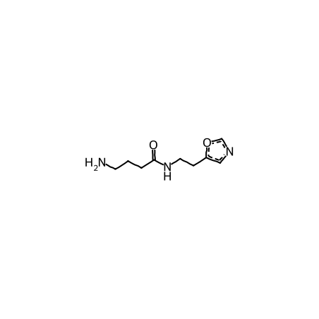 NCCCC(=O)NCCc1cnco1